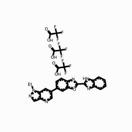 CCn1ncc2ncc(-c3ccc4nc(-c5nc6ccccc6[nH]5)oc4c3)cc21.O=C(O)C(F)(F)F.O=C(O)C(F)(F)F.O=C(O)C(F)(F)F